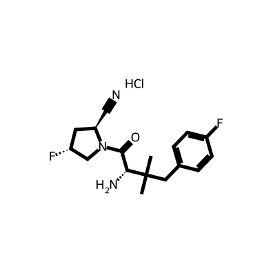 CC(C)(Cc1ccc(F)cc1)[C@H](N)C(=O)N1C[C@H](F)C[C@H]1C#N.Cl